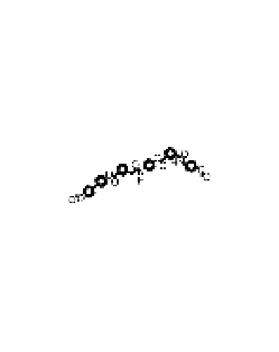 O=COc1ccc(NC(=O)c2cccc(C(=O)Oc3ccc(NC(=O)Cc4cccc(C(=O)Oc5ccc(-c6ccc(OC=O)cc6)cc5)c4)cc3)c2)cc1